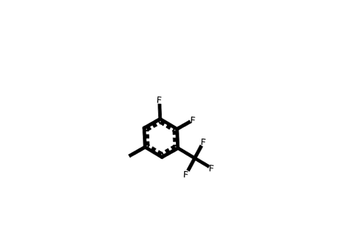 Cc1cc(F)c(F)c(C(F)(F)F)c1